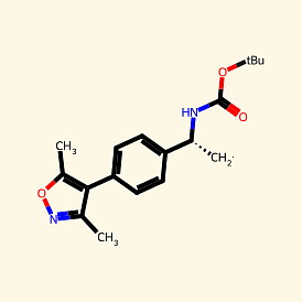 [CH2][C@@H](NC(=O)OC(C)(C)C)c1ccc(-c2c(C)noc2C)cc1